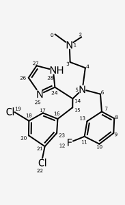 CN(C)CCN(Cc1cccc(F)c1)C(Cc1cc(Cl)cc(Cl)c1)c1ncc[nH]1